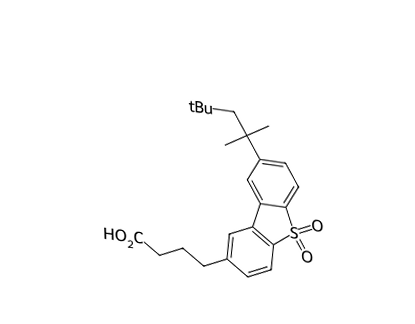 CC(C)(C)CC(C)(C)c1ccc2c(c1)-c1cc(CCCC(=O)O)ccc1S2(=O)=O